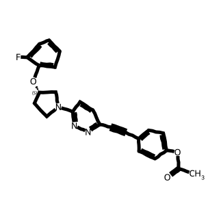 CC(=O)Oc1ccc(C#Cc2ccc(N3CC[C@H](Oc4ccccc4F)C3)nn2)cc1